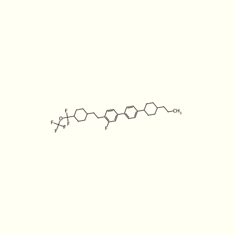 CCCC1CCC(c2ccc(-c3ccc(CCC4CCC(C(F)(F)OC(F)(F)F)CC4)c(F)c3)cc2)CC1